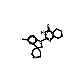 O=c1[nH]c(N2CC3(CCNCC3)c3cc(F)ccc32)nc2c1CCCC2